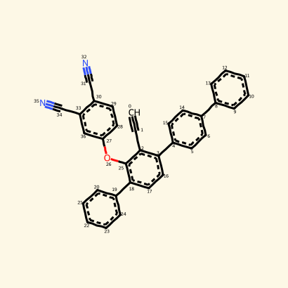 C#Cc1c(-c2ccc(-c3ccccc3)cc2)ccc(-c2ccccc2)c1Oc1ccc(C#N)c(C#N)c1